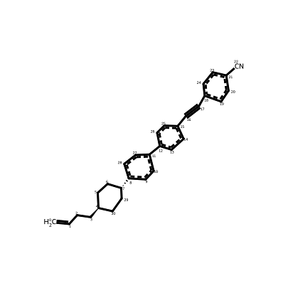 C=CCC[C@H]1CC[C@H](c2ccc(-c3ccc(C#Cc4ccc(C#N)cc4)cc3)cc2)CC1